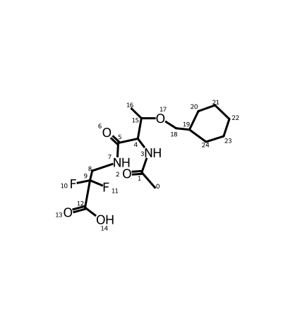 CC(=O)NC(C(=O)NCC(F)(F)C(=O)O)C(C)OCC1CCCCC1